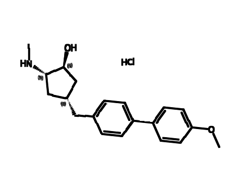 CN[C@H]1C[C@@H](Cc2ccc(-c3ccc(OC)cc3)cc2)C[C@@H]1O.Cl